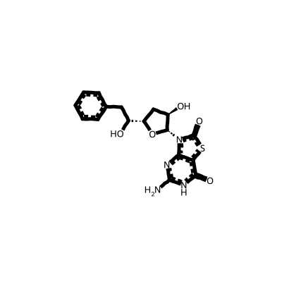 Nc1nc2c(sc(=O)n2[C@@H]2O[C@H](C(O)Cc3ccccc3)C[C@H]2O)c(=O)[nH]1